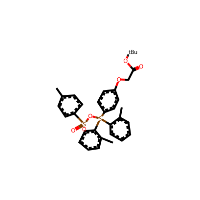 Cc1ccc(S(=O)(=O)OS(c2ccc(OCC(=O)OC(C)(C)C)cc2)(c2ccccc2C)c2ccccc2C)cc1